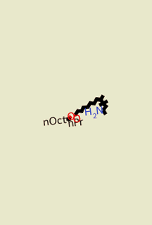 CCCCCCCCC(CCC)OC(=O)CCCCCC/C=C(/C)C(C)(C)CC(C)N